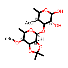 CCCCO[C@H]1C(C)O[C@@H](OC2[C@@H](O)C(O)OC(C)[C@@H]2OC(C)=O)[C@H]2OC(C)(C)OC12